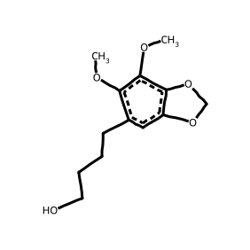 COc1c(CCCCO)cc2c(c1OC)OCO2